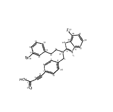 O=C(O)C#Cc1ccc(CN(CCc2cccc(Br)c2)c2nc3cccc(F)c3s2)cc1